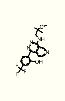 COC(C)(C)CNc1nnc(-c2ccc(C(F)(F)F)cc2O)c2ccncc12